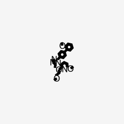 COCCOc1nc(OC)ccc1-n1c(C)nnc1-c1ccc(-c2ccccc2OC)cc1